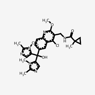 COc1nc2ccc(C(O)(c3cnc(C)n3C)c3cnc(C)n3C)cc2c(Cl)c1CNC(=O)C1(C)CC1